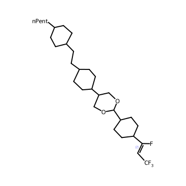 CCCCCC1CCC(CCC2CCC(C3COC(C4CCC(/C(F)=C/C(F)(F)F)CC4)OC3)CC2)CC1